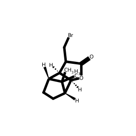 CC1(C)[C@@H]2CC[C@H]1[C@@H]1OC(=O)C(CBr)[C@@H]12